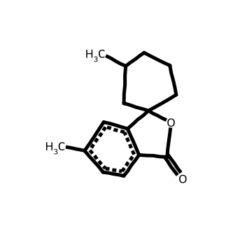 Cc1ccc2c(c1)C1(CCCC(C)C1)OC2=O